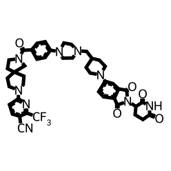 N#Cc1ccc(N2CCC3(CCN(C(=O)c4ccc(N5CCN(CC6CCN(c7ccc8c(c7)C(=O)N(C7CCC(=O)NC7=O)C8=O)CC6)CC5)cc4)C3)CC2)nc1C(F)(F)F